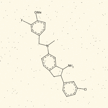 COc1ccc(CN(C)c2ccc3c(c2)C(N)C(c2cccc(Cl)c2)C3)cc1F